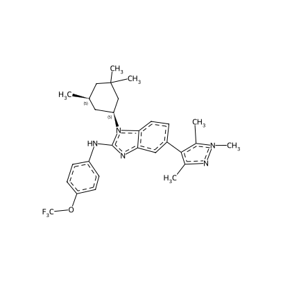 Cc1nn(C)c(C)c1-c1ccc2c(c1)nc(Nc1ccc(OC(F)(F)F)cc1)n2[C@H]1C[C@@H](C)CC(C)(C)C1